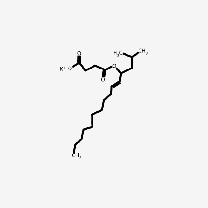 CCCCCCCCCC=CC(CC(C)C)OC(=O)CCC(=O)[O-].[K+]